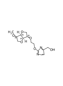 CO[C@@H]1CO[C@H]2[C@@H]1OC[C@H]2OCCOc1nccc(CO)n1